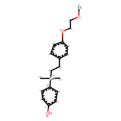 CCOCCOc1ccc(C[CH2][Ge]([CH3])([CH3])[c]2ccc(O)cc2)cc1